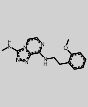 CNc1nnc2c(NCCc3ccccc3OC)nccn12